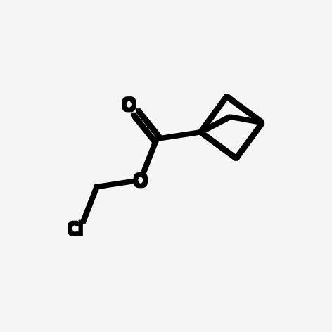 O=C(OCCl)C12CC(C1)C2